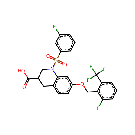 O=C(O)C1Cc2ccc(OCc3c(F)cccc3C(F)(F)F)cc2N(S(=O)(=O)c2cccc(F)c2)C1